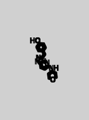 Oc1ccc(Cc2nnc3ccc(NC4CCOCC4)nn23)cc1